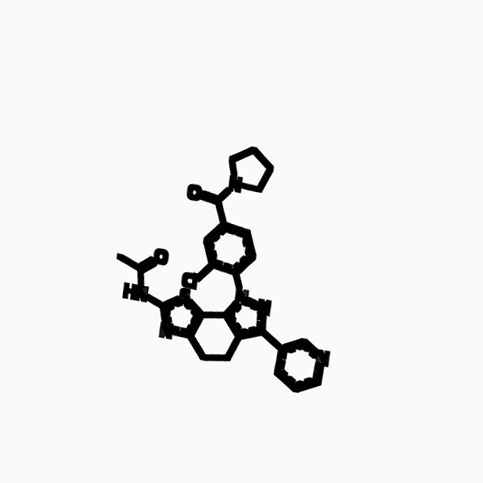 CC(=O)Nc1nc2c(s1)-c1c(c(-c3cccnc3)nn1-c1ccc(C(=O)N3CCCC3)cc1Cl)CC2